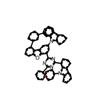 c1ccc(-c2cccc(-c3cccc4oc5c(-c6nc(-c7ccccc7)nc(-c7cccc8c9ccccc9n(-c9ccccc9)c78)n6)cc(-n6c7ccccc7c7ccccc76)cc5c34)c2)cc1